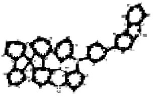 c1ccc(N(c2ccc(-c3ccc4sc5ccccc5c4c3)cc2)c2cccc3c2Oc2c(ccc4c2-c2ccccc2C42c4ccccc4-c4ccccc42)O3)cc1